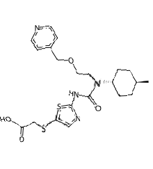 C[C@H]1CC[C@H](N(CCOCc2ccncc2)C(=O)Nc2ncc(SCC(=O)O)s2)CC1